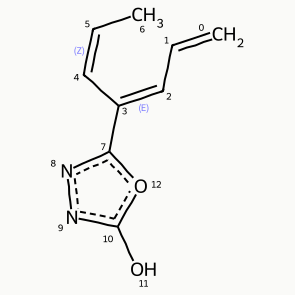 C=C/C=C(\C=C/C)c1nnc(O)o1